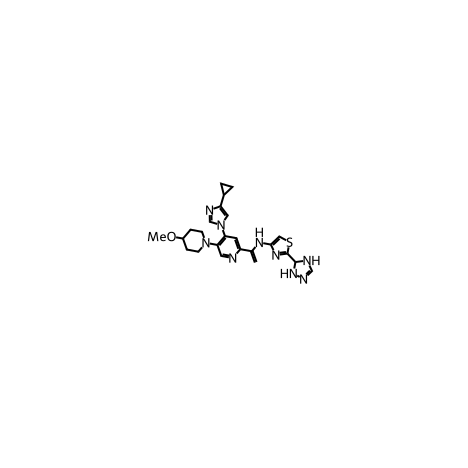 C=C(Nc1csc(C2NC=NN2)n1)c1cc(-n2cnc(C3CC3)c2)c(N2CCC(OC)CC2)cn1